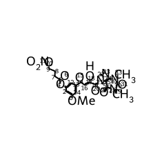 COc1cc(OC(=O)CCCO[N+](=O)[O-])cc(C(=O)C=C(O)C(=O)n2cnc3c2c(=O)n(C)c(=O)n3C)c1